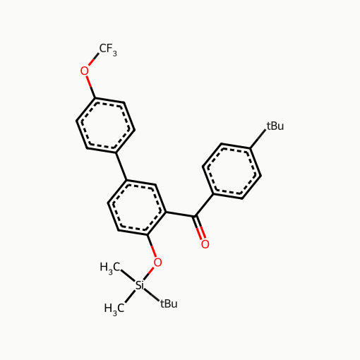 CC(C)(C)c1ccc(C(=O)c2cc(-c3ccc(OC(F)(F)F)cc3)ccc2O[Si](C)(C)C(C)(C)C)cc1